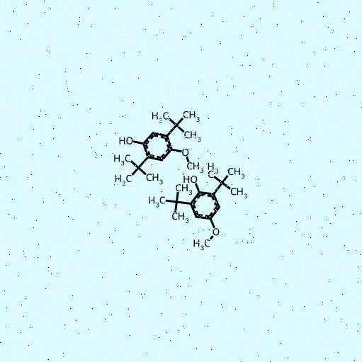 COc1cc(C(C)(C)C)c(O)c(C(C)(C)C)c1.COc1cc(C(C)(C)C)c(O)cc1C(C)(C)C